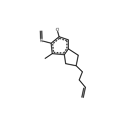 C=CCCC1Cc2cc(Cl)c(N=C)c(C)c2C1